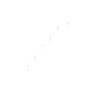 NCOCCCCCCCO